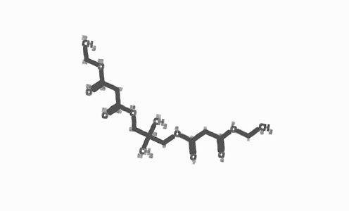 CCOC(=O)CC(=O)OCC(C)(C)COC(=O)CC(=O)OCC